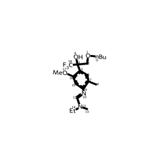 CCCCOCC(O)(c1cc(C)c(/N=C/N(C)CC)cc1OC)C(F)(F)F